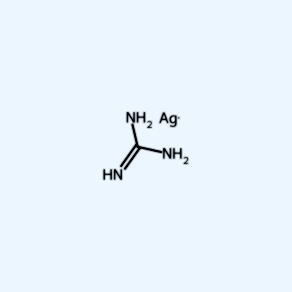 N=C(N)N.[Ag]